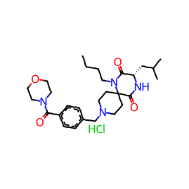 CCCCN1C(=O)[C@H](CC(C)C)NC(=O)C12CCN(Cc1ccc(C(=O)N3CCOCC3)cc1)CC2.Cl